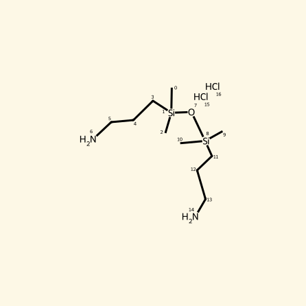 C[Si](C)(CCCN)O[Si](C)(C)CCCN.Cl.Cl